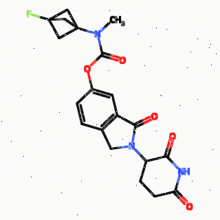 CN(C(=O)Oc1ccc2c(c1)C(=O)N(C1CCC(=O)NC1=O)C2)C12CC(F)(C1)C2